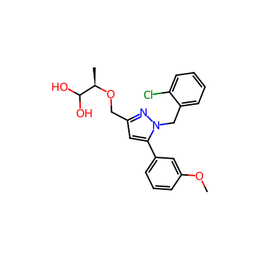 COc1cccc(-c2cc(CO[C@H](C)C(O)O)nn2Cc2ccccc2Cl)c1